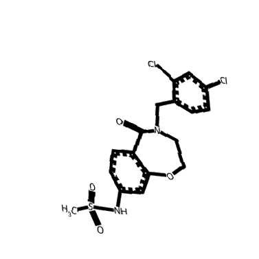 CS(=O)(=O)Nc1ccc2c(c1)OCCN(Cc1ccc(Cl)cc1Cl)C2=O